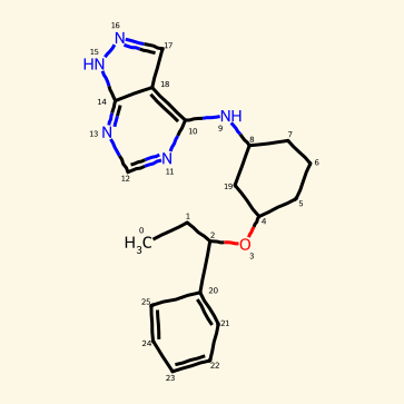 CCC(OC1CCCC(Nc2ncnc3[nH]ncc23)C1)c1ccccc1